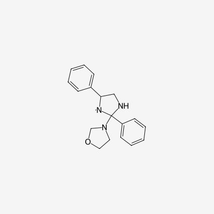 c1ccc(C2CNC(c3ccccc3)(N3CCOC3)[N]2)cc1